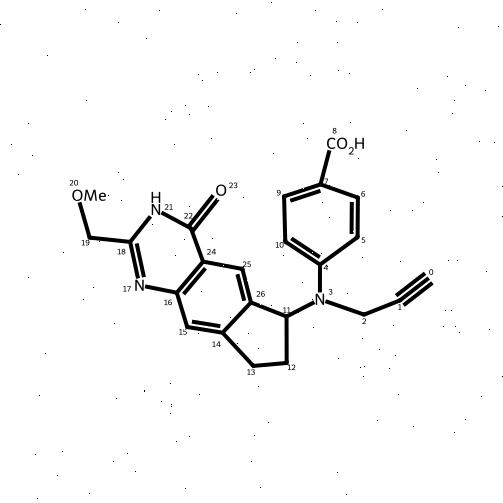 C#CCN(c1ccc(C(=O)O)cc1)C1CCc2cc3nc(COC)[nH]c(=O)c3cc21